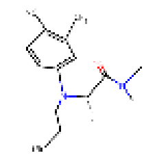 C[C@@H](C(=O)N(C)C)N(CCC(C)(C)C)c1ccc(C#N)c(C(F)(F)F)c1